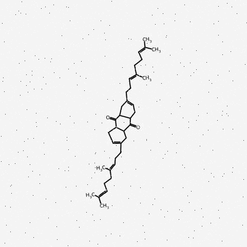 CC(C)=CCC/C(C)=C/CCC1=CCC2C(=O)C3CC(CC/C=C(\C)CCC=C(C)C)=CCC3C(=O)C2C1